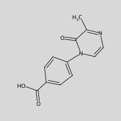 Cc1nccn(-c2ccc(C(=O)O)cc2)c1=O